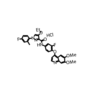 CCOc1cn(-c2ccc(F)cc2C)nc1C(=O)Nc1ccc(Oc2ccnc3cc(OC)c(OC)cc23)c(F)c1.Cl